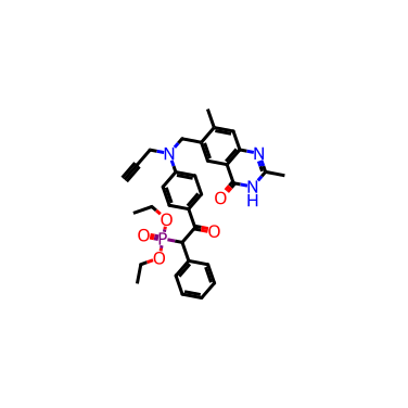 C#CCN(Cc1cc2c(=O)[nH]c(C)nc2cc1C)c1ccc(C(=O)C(c2ccccc2)P(=O)(OCC)OCC)cc1